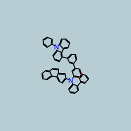 c1ccc(-c2ccccc2N(c2cccc(-c3cccc(-c4cccc5c4c4ccccc4n5-c4ccccc4)c3)c2)c2ccc3c(ccc4ccccc43)c2)cc1